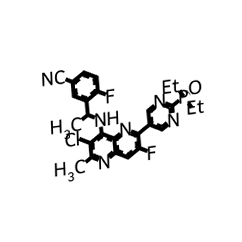 CCP(=O)(CC)c1ncc(-c2nc3c(NC(C)c4cc(C#N)ccc4F)c(Cl)c(C)nc3cc2F)cn1